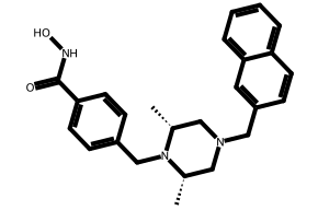 C[C@@H]1CN(Cc2ccc3ccccc3c2)C[C@H](C)N1Cc1ccc(C(=O)NO)cc1